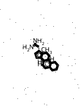 C[C@]12CC[C@H]3[C@@H](CCC4CCCC[C@@]43C)[C@@H]1CC[C@@H]2CC(N)N